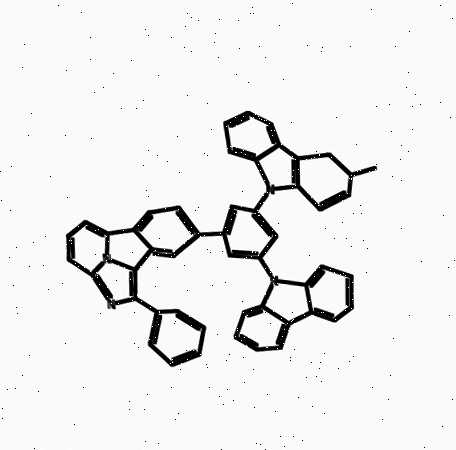 CC1C=Cc2c(c3ccccc3n2-c2cc(-c3ccc4c(c3)c3c(-c5ccccc5)nc5cccc4n53)cc(-n3c4ccccc4c4ccccc43)c2)C1